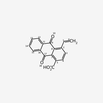 C=Cc1ccc(C(=O)O)c2c1C(=O)c1ccccc1C2=O